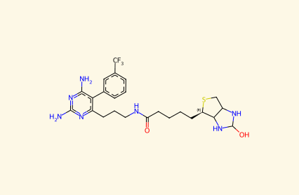 Nc1nc(N)c(-c2cccc(C(F)(F)F)c2)c(CCCNC(=O)CCCC[C@H]2SCC3NC(O)NC32)n1